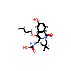 CCCCOc1c(CNC(=O)O)n(CC(C)(C)C)c(=O)c2ccc(O)cc12